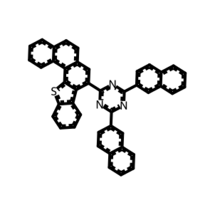 c1ccc2cc(-c3nc(-c4ccc5ccccc5c4)nc(-c4cc5ccc6ccccc6c5c5sc6ccccc6c45)n3)ccc2c1